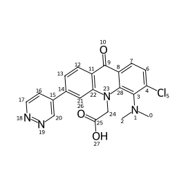 CN(C)c1c(Cl)ccc2c(=O)c3ccc(-c4ccnnc4)cc3n(CC(=O)O)c12